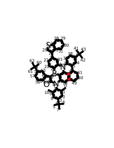 Cc1cc(C(C)(C)C)cc(C)c1N1c2cccc3c2B(c2ccc(-c4csc5ccccc45)cc2N3c2ccc(C(C)(C)C)cc2-c2ccccc2)c2c1oc1ccc(C(C)(C)C)cc21